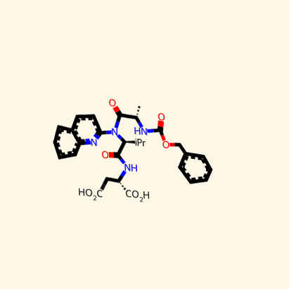 CC(C)[C@@H](C(=O)N[C@@H](CC(=O)O)C(=O)O)N(C(=O)[C@H](C)NC(=O)OCc1ccccc1)c1ccc2ccccc2n1